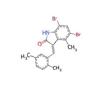 Cc1ccc(C)c(C=C2C(=O)Nc3c(Br)cc(Br)c(C)c32)c1